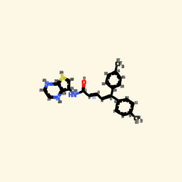 O=C(/C=C/C=C(c1ccc(C(F)(F)F)cc1)c1ccc(C(F)(F)F)cc1)Nc1csc2nccnc12